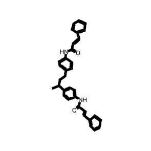 [CH2]C(CCc1ccc(NC(=O)C=Cc2ccccc2)cc1)c1ccc(NC(=O)C=Cc2ccccc2)cc1